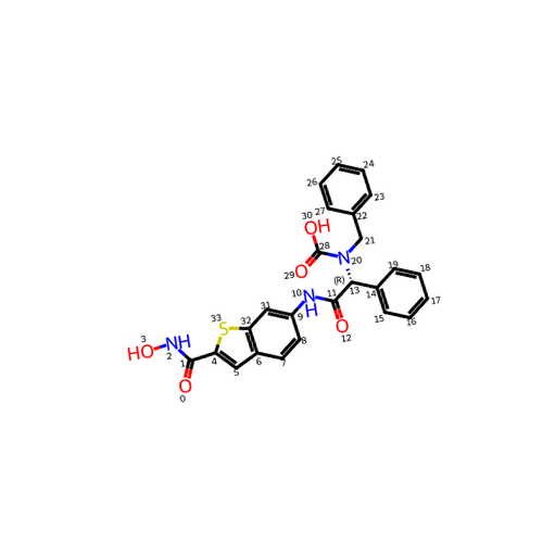 O=C(NO)c1cc2ccc(NC(=O)[C@@H](c3ccccc3)N(Cc3ccccc3)C(=O)O)cc2s1